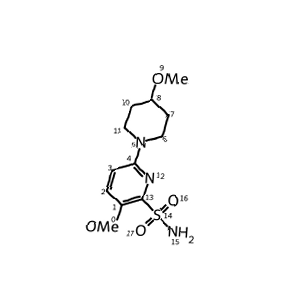 COc1ccc(N2CCC(OC)CC2)nc1S(N)(=O)=O